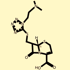 CN(C)CCn1nnnc1SCC1C(=O)N2C(C(=O)O)=CCS[C@@H]12